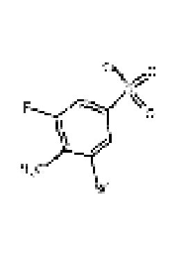 Cc1c(F)cc(S(=O)(=O)Cl)cc1Br